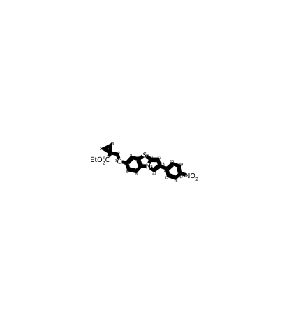 CCOC(=O)C1(COc2ccc3c(c2)sc2cc(-c4ccc([N+](=O)[O-])cc4)cn23)CC1